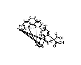 O=C(O)C1(C(=O)O)C2c3cc4c5c6c(cc7ccc8cc9c%10c%11c(cc(c%12c3c5c(c%12%11)c3c6c7c8c%103)C21)C9)C4